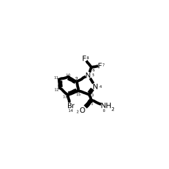 NC(=O)c1nn(C(F)F)c2cccc(Br)c12